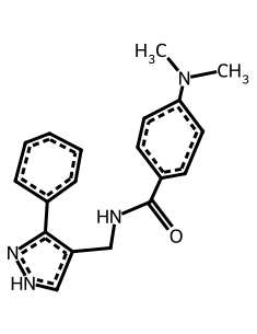 CN(C)c1ccc(C(=O)NCc2c[nH]nc2-c2ccccc2)cc1